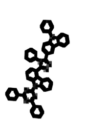 c1ccc(-c2nc(-c3ccccc3)nc(-n3c4ccccc4c4c(-c5nnc(-c6ccc7c(c6)c6ccccc6n7-c6ccccc6)n5-c5ccccc5)cccc43)n2)cc1